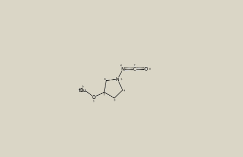 CC(C)(C)OC1CCN(N=C=O)C1